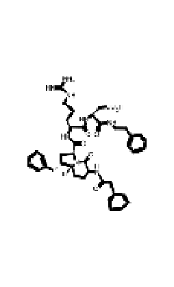 N=C(N)NCCC[C@H](NC(=O)[C@@H]1C[C@@H](Cc2ccccc2)[C@H]2CCC(NC(=O)Cc3ccccc3)C(=O)N21)C(=O)N[C@@H](CC(=O)O)C(=O)NCCc1ccccc1